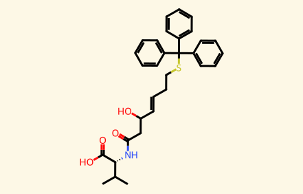 CC(C)[C@@H](NC(=O)CC(O)C=CCCSC(c1ccccc1)(c1ccccc1)c1ccccc1)C(=O)O